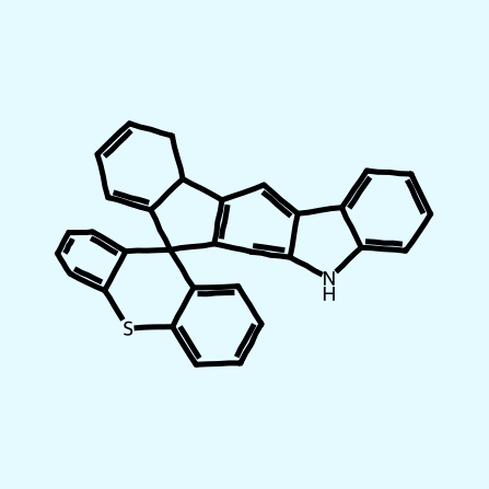 C1=CCC2C(=C1)C1(c3ccccc3Sc3ccccc31)c1cc3[nH]c4ccccc4c3cc12